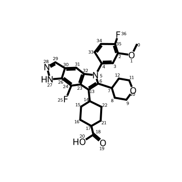 COc1cc(-n2c(C3CCOCC3)c(C3CCC(C(=O)O)CC3)c3c(F)c4[nH]ncc4cc32)ccc1F